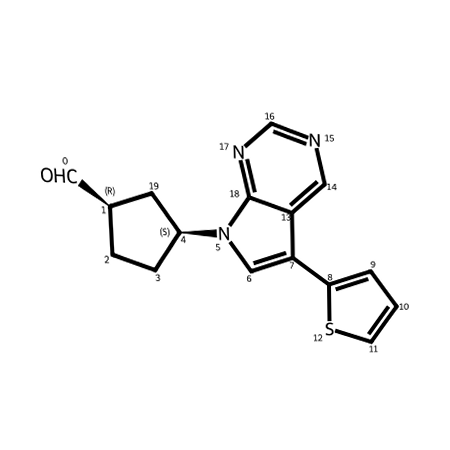 O=C[C@@H]1CC[C@H](n2cc(-c3cccs3)c3cncnc32)C1